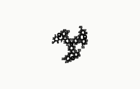 Cc1ccc2c(c1)C=C(c1ccc(N(c3ccc(C4=Cc5cc(C)ccc5Oc5ccc(C)cc54)cc3)c3ccc(C4=Cc5cc(C)ccc5Oc5ccc(C)cc54)cc3)cc1)c1cc(C)ccc1O2